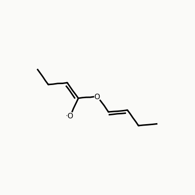 CCC=COC([O])=CCC